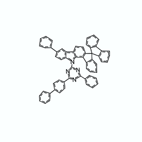 c1ccc(-c2ccc(-c3nc(-c4ccccc4)nc(-n4c5ccc(-c6ccccc6)cc5c5ccc6c(c54)-c4ccccc4C64c5ccccc5-c5ccccc54)n3)cc2)cc1